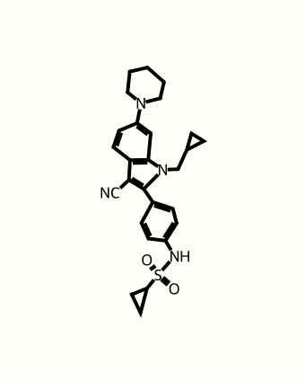 N#Cc1c(-c2ccc(NS(=O)(=O)C3CC3)cc2)n(CC2CC2)c2cc(N3CCCCC3)ccc12